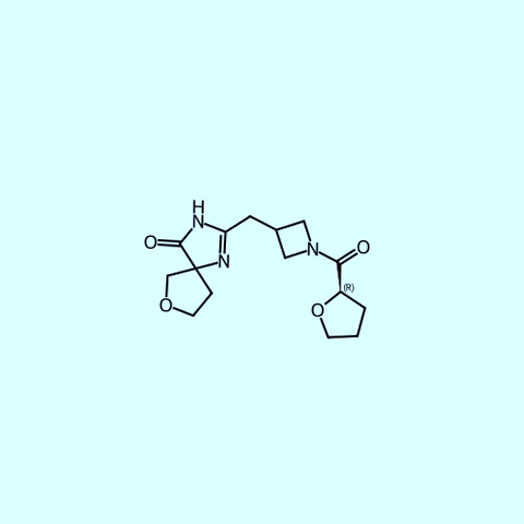 O=C([C@H]1CCCO1)N1CC(CC2=NC3(CCOC3)C(=O)N2)C1